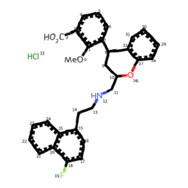 COc1c(C(=O)O)cccc1C1CC(CNCCc2ccc(F)c3ccccc23)Oc2ccccc21.Cl